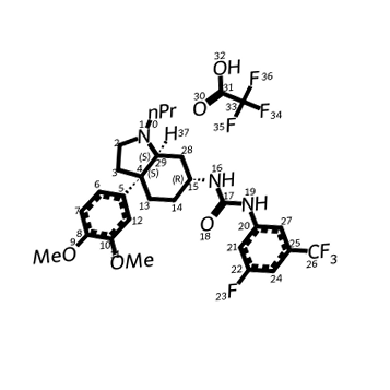 CCCN1CC[C@]2(c3ccc(OC)c(OC)c3)CC[C@@H](NC(=O)Nc3cc(F)cc(C(F)(F)F)c3)C[C@H]12.O=C(O)C(F)(F)F